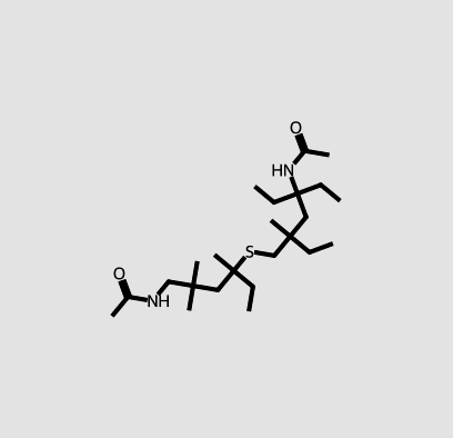 CCC(C)(CSC(C)(CC)CC(C)(C)CNC(C)=O)CC(CC)(CC)NC(C)=O